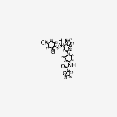 O=C(Nc1ccc(-c2cc(NCc3ccc(Cl)cc3Cl)n3nccc3n2)cc1)[C@H]1CCCO1